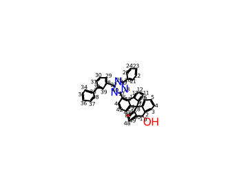 OC1c2ccccc2C2(c3ccccc3-c3c(-c4nc(-c5ccccc5)nc(-c5cccc(-c6ccccc6)c5)n4)cccc32)c2ccccc21